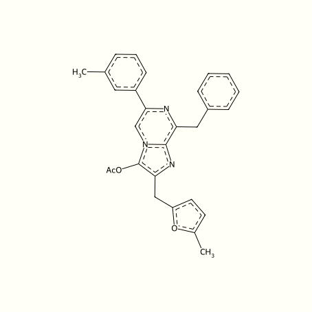 CC(=O)Oc1c(Cc2ccc(C)o2)nc2c(Cc3ccccc3)nc(-c3cccc(C)c3)cn12